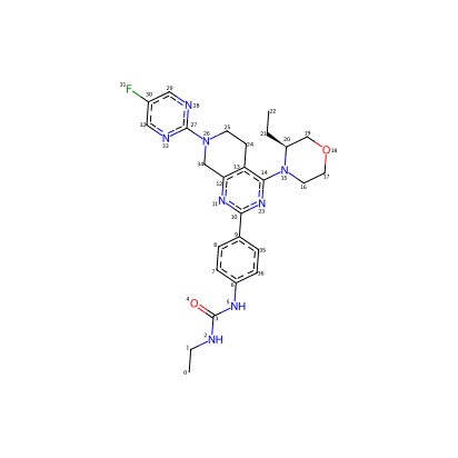 CCNC(=O)Nc1ccc(-c2nc3c(c(N4CCOC[C@@H]4CC)n2)CCN(c2ncc(F)cn2)C3)cc1